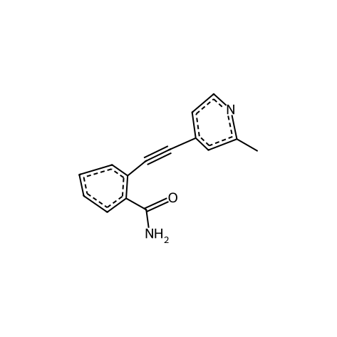 Cc1cc(C#Cc2ccccc2C(N)=O)ccn1